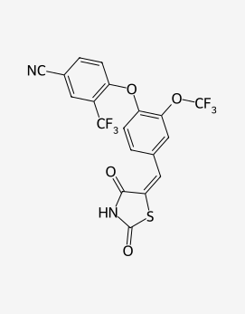 N#Cc1ccc(Oc2ccc(C=C3SC(=O)NC3=O)cc2OC(F)(F)F)c(C(F)(F)F)c1